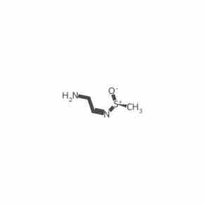 C[S@+]([O-])/N=C\CN